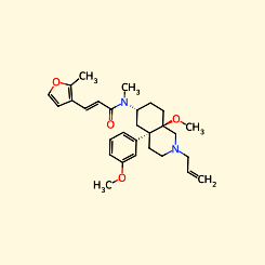 C=CCN1CC[C@@]2(c3cccc(OC)c3)C[C@H](N(C)C(=O)/C=C/c3ccoc3C)CC[C@]2(OC)C1